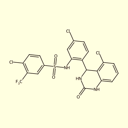 O=C1Nc2cccc(Cl)c2C(c2ccc(Cl)cc2NS(=O)(=O)c2ccc(Cl)c(C(F)(F)F)c2)N1